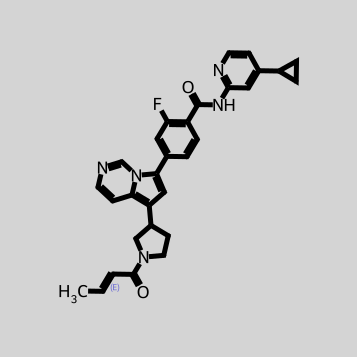 C/C=C/C(=O)N1CCC(c2cc(-c3ccc(C(=O)Nc4cc(C5CC5)ccn4)c(F)c3)n3cnccc23)C1